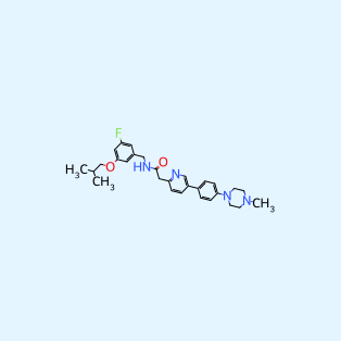 CC(C)COc1cc(F)cc(CNC(=O)Cc2ccc(-c3ccc(N4CCN(C)CC4)cc3)cn2)c1